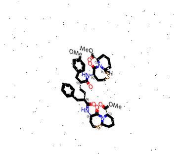 COC(=O)[C@@H]1CCCC2SCC[C@H](NC(=O)[C@H](CC[C@H](Cc3ccc(OC)cc3)C(=O)N[C@H]3CCS[C@H]4CCC[C@@H](C(=O)OC)N4C3=O)Cc3ccccc3)C(=O)N21